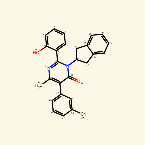 Cc1nc(-c2ccccc2O)n(C2Cc3ccccc3C2)c(=O)c1-c1cccc(C#N)c1